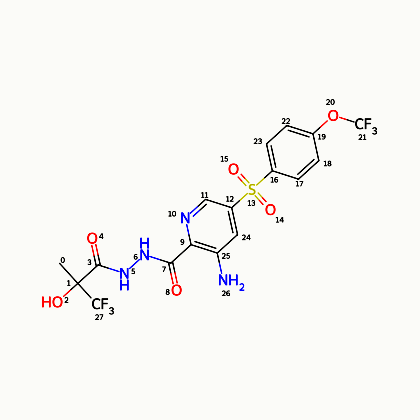 CC(O)(C(=O)NNC(=O)c1ncc(S(=O)(=O)c2ccc(OC(F)(F)F)cc2)cc1N)C(F)(F)F